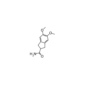 COc1cc2c(cc1OC)CC(C(N)=O)C2